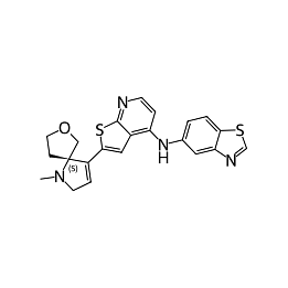 CN1CC=C(c2cc3c(Nc4ccc5scnc5c4)ccnc3s2)[C@]12CCOC2